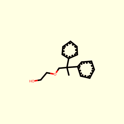 CC(COCCO)(c1ccccc1)c1ccccc1